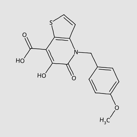 COc1ccc(Cn2c(=O)c(O)c(C(=O)O)c3sccc32)cc1